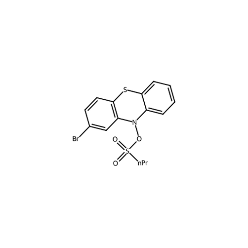 CCCS(=O)(=O)ON1c2ccccc2Sc2ccc(Br)cc21